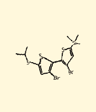 CC(C)Sc1cc(Br)c(-c2sc([Si](C)(C)C)cc2Br)s1